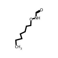 CCCCCCCONC=O